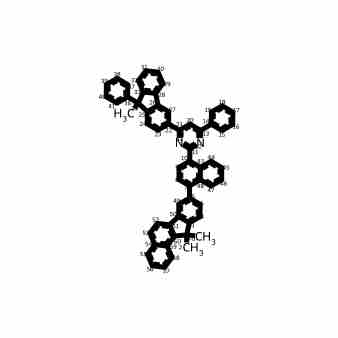 CC1(C)c2ccc(-c3ccc(-c4nc(-c5ccccc5)cc(-c5ccc6c(c5)-c5ccccc5C6(C)c5ccccc5)n4)c4ccccc34)cc2-c2ccc3ccccc3c21